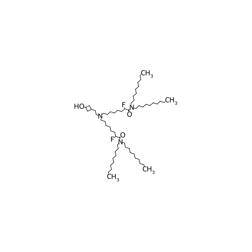 CCCCCCCCCCN(CCCCCCCCCC)C(=O)C(F)CCCCCCN(CCCCCCC(F)C(=O)N(CCCCCCCCCC)CCCCCCCCCC)CCC1CC(O)C1